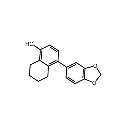 Oc1ccc(-c2ccc3c(c2)OCO3)c2c1CCCC2